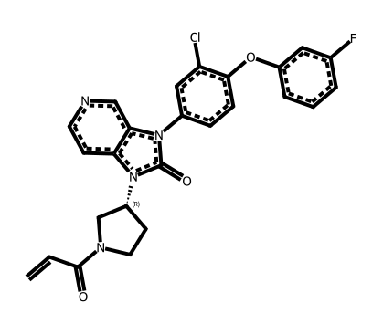 C=CC(=O)N1CC[C@@H](n2c(=O)n(-c3ccc(Oc4cccc(F)c4)c(Cl)c3)c3cnccc32)C1